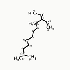 COC(OC)[SiH2]CCCOCCN(C)C